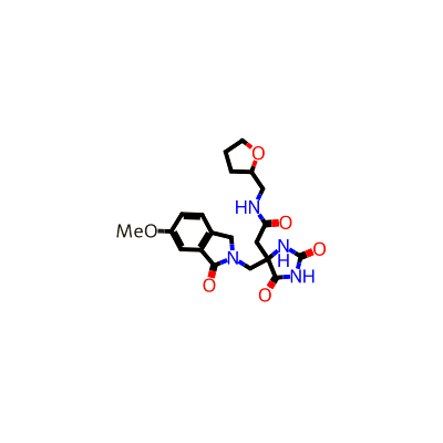 COc1ccc2c(c1)C(=O)N(CC1(CC(=O)NCC3CCCO3)NC(=O)NC1=O)C2